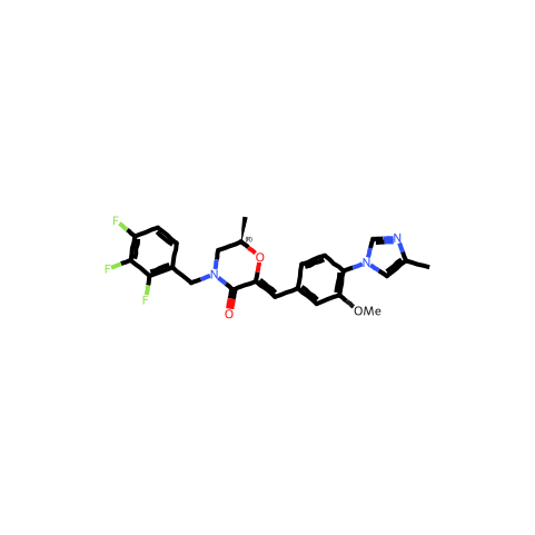 COc1cc(C=C2O[C@H](C)CN(Cc3ccc(F)c(F)c3F)C2=O)ccc1-n1cnc(C)c1